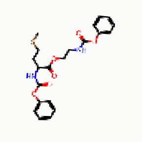 CSCCC(NC(=O)Oc1ccccc1)C(=O)OCCNC(=O)Oc1ccccc1